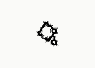 C1=CCC(Cc2c3nc(cc4ccc(cc5nc(cc6ccc2[nH]6)C=C5)[nH]4)C=C3)C=C1